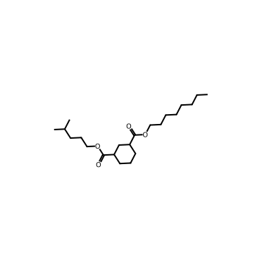 CCCCCCCCOC(=O)C1CCCC(C(=O)OCCCC(C)C)C1